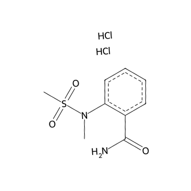 CN(c1ccccc1C(N)=O)S(C)(=O)=O.Cl.Cl